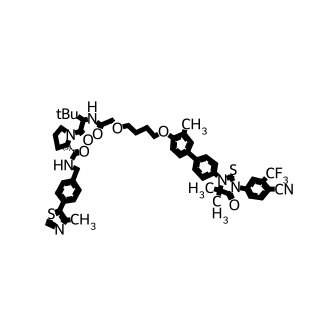 Cc1cc(-c2ccc(N3C(=S)N(c4ccc(C#N)c(C(F)(F)F)c4)C(=O)C3(C)C)cc2)ccc1OCCCCOCC(=O)NC(C(=O)N1CCC[C@H]1C(=O)NCc1ccc(-c2scnc2C)cc1)C(C)(C)C